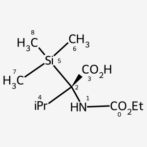 CCOC(=O)N[C@](C(=O)O)(C(C)C)[Si](C)(C)C